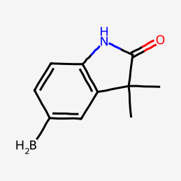 Bc1ccc2c(c1)C(C)(C)C(=O)N2